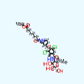 CO[C@H]1O[C@H](CO)[C@@H](O)[C@H](O)[C@H]1NC(=O)c1cc(Cl)c(OCc2cccc(CNC(=O)CCCCCCC(=O)OC(C)(C)C)c2)c(Cl)c1C